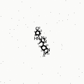 Cc1c(Nc2ccc(C(F)(F)F)cc2)ncnc1-c1ccc2c(c1)ncn2C